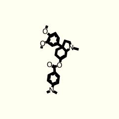 COc1ccc(C23CCC(OC(=O)c4ccc(N(C)C)cc4)=CC2N(C)CC3)cc1OC